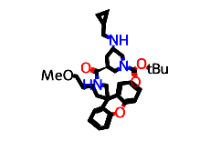 COCCCCC1(CNC(=O)[C@H]2C[C@@H](NCC3CC3)CN(C(=O)OC(C)(C)C)C2)c2ccccc2Oc2ccccc21